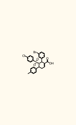 Cc1ccc(C2CC=C(C(=O)O)C(c3cccc(Br)c3)N2S(=O)(=O)c2ccc(Cl)cc2)cc1